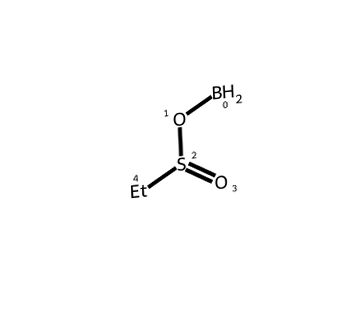 BOS(=O)CC